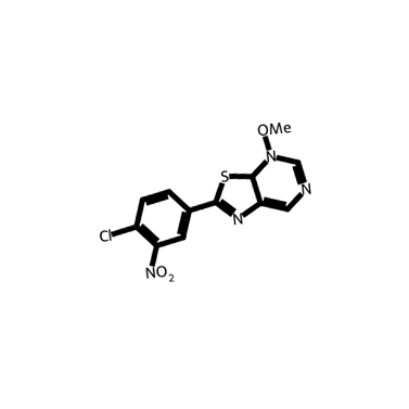 CON1C=NC=C2N=C(c3ccc(Cl)c([N+](=O)[O-])c3)SC21